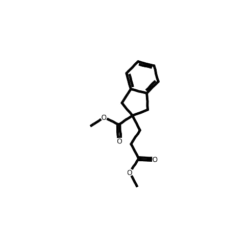 COC(=O)CCC1(C(=O)OC)Cc2ccccc2C1